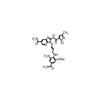 CCn1nc(C)cc1C(=O)Nc1nc2cc(C(N)=O)cnc2n1C/C=C/CNc1c(N)cc(C(N)=O)cc1OC